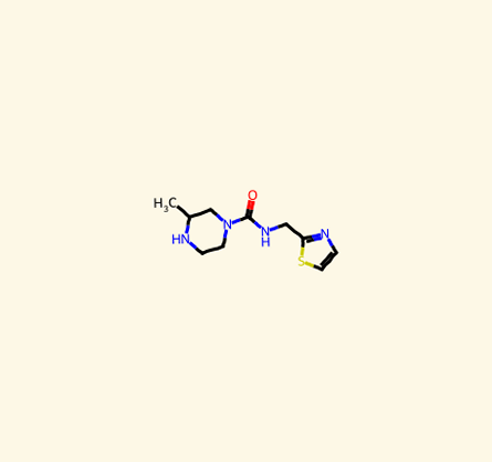 CC1CN(C(=O)NCc2nccs2)CCN1